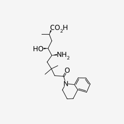 C[C@H](C[C@H](O)[C@@H](N)CC(C)(C)CC(=O)N1CCCc2ccccc21)C(=O)O